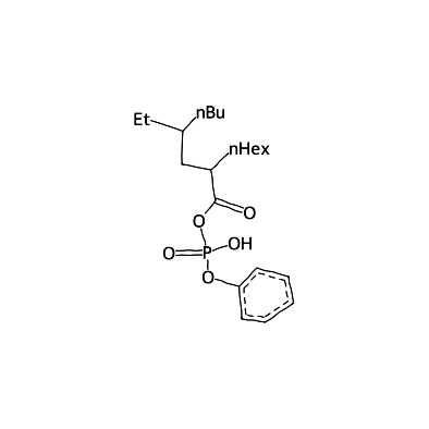 CCCCCCC(CC(CC)CCCC)C(=O)OP(=O)(O)Oc1ccccc1